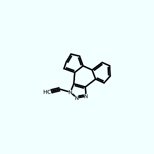 C#Cn1nnc2c3ccccc3c3ccccc3c21